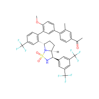 COc1ccc(-c2ccc(C(C)=O)cc2C)cc1-c1ccc(C(F)(F)F)cc1[C@@H]1CC[C@H]2[C@@H](c3cc(C(F)(F)F)cc(C(F)(F)F)c3)NS(=O)(=O)N12